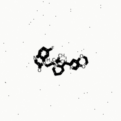 CC(C)(C)[N+]1(CCn2c(=O)cnc3ccc(F)cc32)CC[CH]CC1Cc1cc2c(cn1)OCCO2